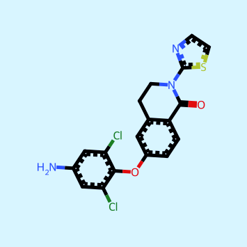 Nc1cc(Cl)c(Oc2ccc3c(c2)CCN(c2nccs2)C3=O)c(Cl)c1